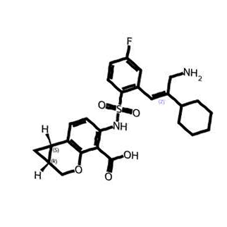 NC/C(=C\c1cc(F)ccc1S(=O)(=O)Nc1ccc2c(c1C(=O)O)OC[C@@H]1C[C@H]21)C1CCCCC1